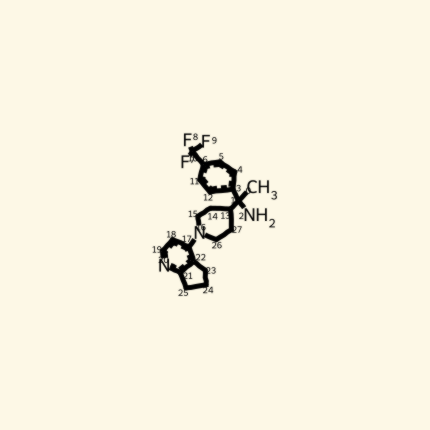 CC(N)(c1ccc(C(F)(F)F)cc1)C1CCN(c2ccnc3c2CCC3)CC1